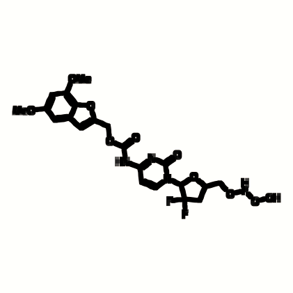 COc1cc(OC)c2oc(COC(=O)Nc3ccn(C4OC(COPOO)CC4(F)F)c(=O)n3)cc2c1